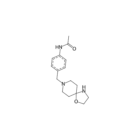 CC(=O)Nc1ccc(CN2CCC3(CC2)NCCO3)cc1